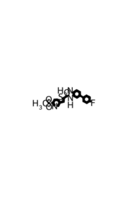 CS(=O)(=O)c1cc2sc(C(=O)Nc3cc(-c4ccc(F)cc4)ccc3N)cc2cn1